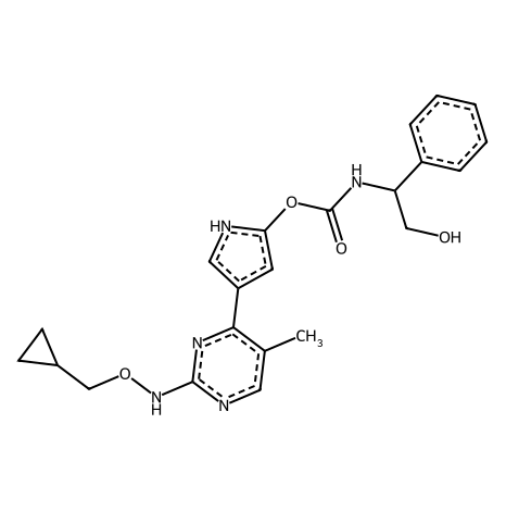 Cc1cnc(NOCC2CC2)nc1-c1c[nH]c(OC(=O)NC(CO)c2ccccc2)c1